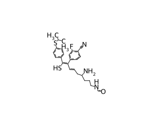 CC(C)Sc1ccc(/C(S)=C(/C=C/CC(N)CCCNC=O)c2ccc(C#N)c(F)c2)cc1